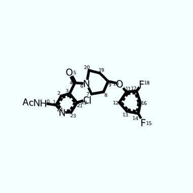 CC(=O)Nc1cc(C(=O)N2CCC(Oc3ccc(F)cc3F)CC2)c(Cl)cn1